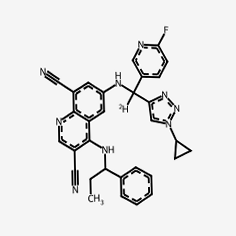 [2H]C(Nc1cc(C#N)c2ncc(C#N)c(NC(CC)c3ccccc3)c2c1)(c1ccc(F)nc1)c1cn(C2CC2)nn1